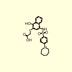 O=C(O)CSc1cc(NS(=O)(=O)c2ccc(N3CCCCCC3)cc2)c2ccccc2c1O